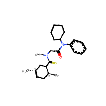 CNN(CC(=O)N(c1ccccc1)C1CCCCC1)C(=S)C1C[C@@H](C)CC[C@@H]1C(C)C